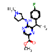 COC(=O)c1cnc(NC2CCN(C)C2)c(C(C)c2ccc(F)cc2)n1